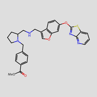 COC(=O)c1ccc(CN2CCCC2CNCc2coc3cc(Oc4nc5ncccc5s4)ccc23)cc1